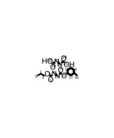 CCCOC(=O)N=NC(=O)Oc1cccc(C)c1.O=C(O)N=NC(=O)O